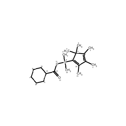 CC1=C(C)C(C)(C)[C]([Ti]([CH3])([CH3])[O]C(=O)C2CCCCC2)=C1C